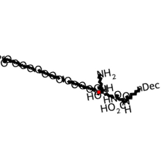 CCCCCCCCCCCCCCCC(=O)N[C@H](CCC(=O)NCCCC[C@@H](NC(=O)CCCCN)C(O)NCCOCCOCCOCCOCCOCCOCCOCCOCCOCCOCCOCCOC(=O)C(C)C)C(=O)O